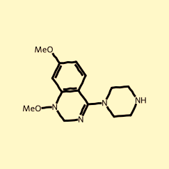 COc1ccc2c(c1)N(OC)CN=C2N1CCNCC1